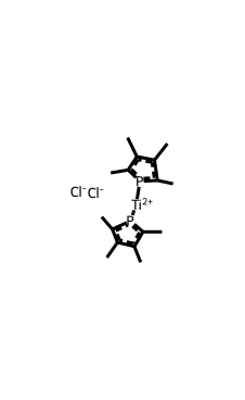 Cc1c(C)c(C)[p]([Ti+2][p]2c(C)c(C)c(C)c2C)c1C.[Cl-].[Cl-]